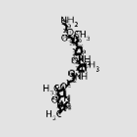 C=C1C[C@H]2C=Nc3cc(OCCCC(=O)Nc4cc(C(=O)Nc5ccc(-c6cc(C(=O)OCCCN)n(C)c6)cc5)n(C)c4)c(C)cc3C(=O)N2C1